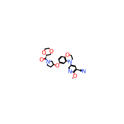 COc1ncc(N2CCOc3ccc(OC4CCN(C(=O)[C@@H]5COCCO5)C4)cc32)cc1C#N